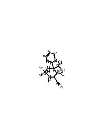 N#C[C]1NC(F)(F)NC(c2ncccn2)(C(Cl)Cl)C1Cl